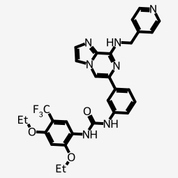 CCOc1cc(OCC)c(C(F)(F)F)cc1NC(=O)Nc1cccc(-c2cn3ccnc3c(NCc3ccncc3)n2)c1